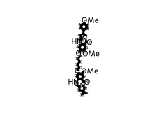 COc1ccc(C2=CN3C(=O)c4cc(OC)c(OCCCCCOc5cc6c(cc5OC)C(=O)N5CC7(CC7)CC5CN6)cc4NC3C2)cc1